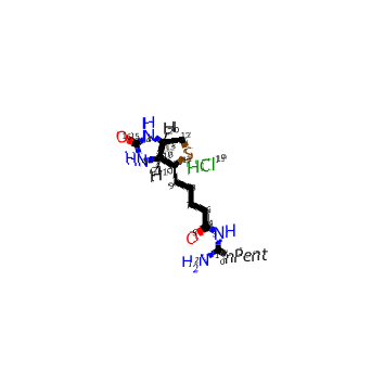 CCCCCC(N)NC(=O)CCCC[C@@H]1SC[C@@H]2NC(=O)N[C@@H]21.Cl